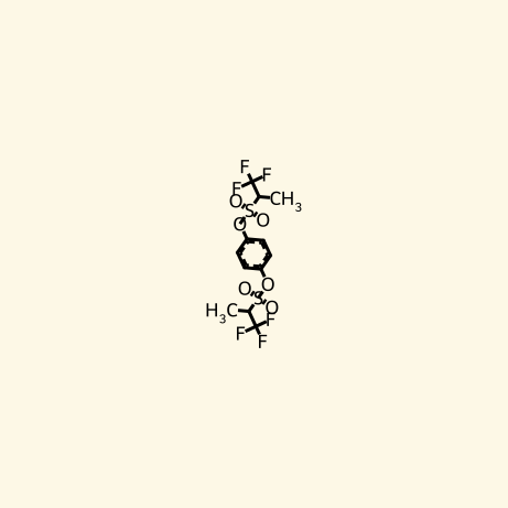 CC(C(F)(F)F)S(=O)(=O)Oc1ccc(OS(=O)(=O)C(C)C(F)(F)F)cc1